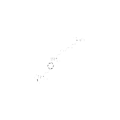 CC(C)C(=O)CCOCCOCCC(=O)Nc1ccc(CCC(=O)N2CCC2=O)cc1